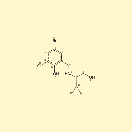 OCC(NCc1cc(Br)cc(Cl)c1O)C1CC1